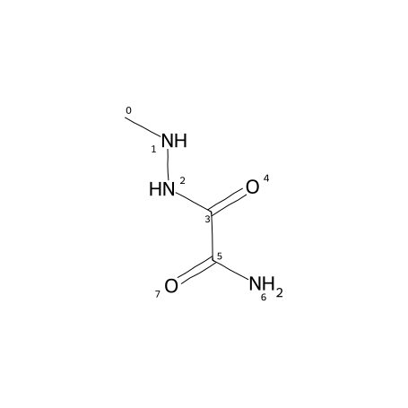 CNNC(=O)C(N)=O